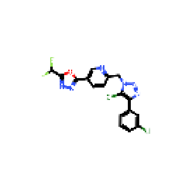 FC(F)c1nnc(-c2ccc(Cn3nnc(-c4cccc(Cl)c4)c3Cl)nc2)o1